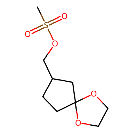 CS(=O)(=O)OCC1CCC2(C1)OCCO2